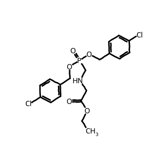 CCOC(=O)CNCP(=O)(OCc1ccc(Cl)cc1)OCc1ccc(Cl)cc1